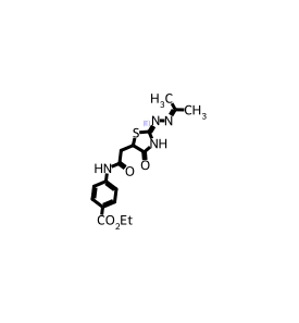 CCOC(=O)c1ccc(NC(=O)CC2S/C(=N/N=C(C)C)NC2=O)cc1